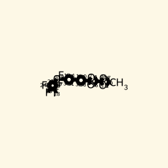 CC1COC(C2COC(C3CCC(C4CCC(C(F)(F)Oc5cc(F)c(F)c(F)c5)CC4)CC3)OC2)OC1